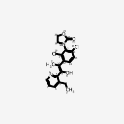 CCc1cccnc1/C(O)=C(\C)c1ccc(Cl)c(N2CCOC2=O)c1Cl